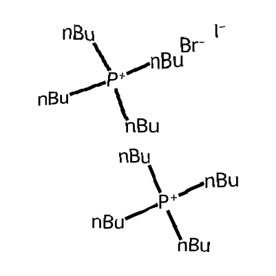 CCCC[P+](CCCC)(CCCC)CCCC.CCCC[P+](CCCC)(CCCC)CCCC.[Br-].[I-]